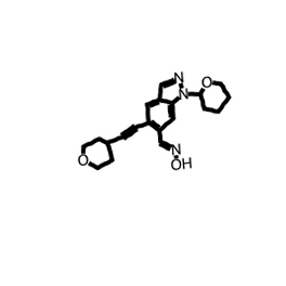 ON=Cc1cc2c(cnn2C2CCCCO2)cc1C#CC1CCOCC1